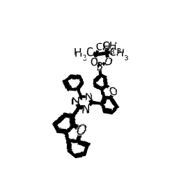 CC1(C)OB(c2ccc3c(c2)oc2cccc(-c4nc(-c5ccccc5)nc(-c5cccc6c5oc5ccccc56)n4)c23)OC1(C)C